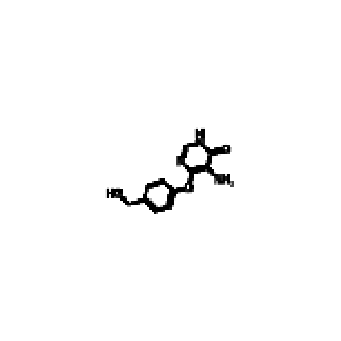 Nc1c(Oc2ccc(CO)cc2)nc[nH]c1=O